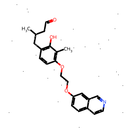 Cc1c(OCCOc2ccc3ccncc3c2)ccc(CC(C)CC=O)c1O